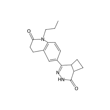 CCCN1C(=O)CCc2cc(C3=NNC(=O)C4CCC34)ccc21